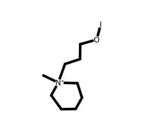 C[N+]1(CCCOI)CCCCC1